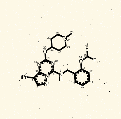 CC(C)c1cnn2c(NCc3ccccc3OC(F)F)nc(OC3CCN(C)CC3)nc12